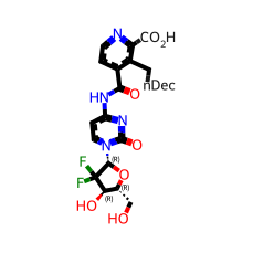 CCCCCCCCCCCc1c(C(=O)Nc2ccn([C@@H]3O[C@H](CO)[C@@H](O)C3(F)F)c(=O)n2)ccnc1C(=O)O